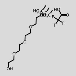 CC(=O)O.CC(=O)O.CC(=O)O.O=C(O)C(F)(F)F.OCCOCCOCCOCCO